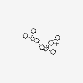 CC1(C)c2ccccc2-c2ccc(-n3c(-c4ccccc4)cc4ccc(-c5ccc6c(c5)cc(-c5ccccc5)n6-c5ccccc5)cc43)cc21